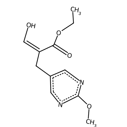 CCOC(=O)C(=CO)Cc1cnc(OC)nc1